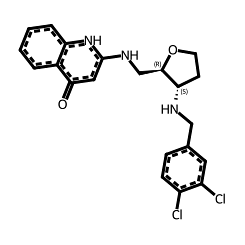 O=c1cc(NC[C@H]2OCC[C@@H]2NCc2ccc(Cl)c(Cl)c2)[nH]c2ccccc12